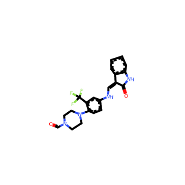 O=CN1CCN(c2ccc(NC=C3C(=O)Nc4ccccc43)cc2C(F)(F)F)CC1